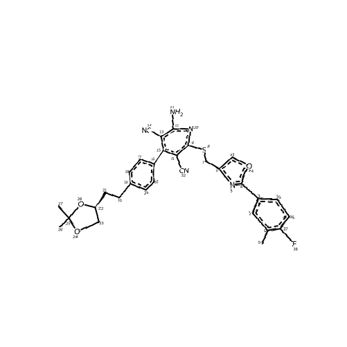 Cc1cc(-c2nc(CSc3nc(N)c(C#N)c(-c4ccc(CC[C@H]5COC(C)(C)O5)cc4)c3C#N)co2)ccc1F